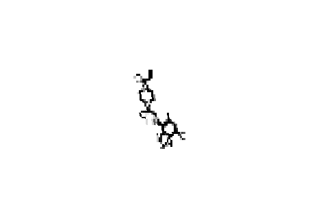 C=CC(=O)N1CCN(C(=O)CNc2c(C)cc(Cl)c3nsnc23)CC1